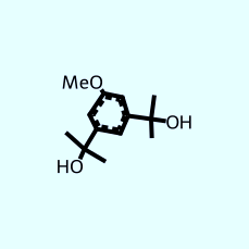 COc1cc(C(C)(C)O)cc(C(C)(C)O)c1